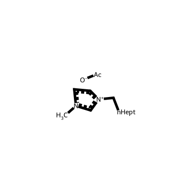 CC(=O)[O-].CCCCCCCC[n+]1ccn(C)c1